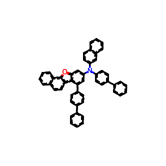 c1ccc(-c2ccc(-c3cc(N(c4ccc(-c5ccccc5)cc4)c4ccc5ccccc5c4)cc4oc5c6ccccc6ccc5c34)cc2)cc1